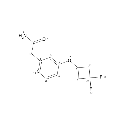 NC(=O)Cc1cc(OC2CC(F)(F)C2)ccn1